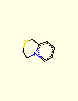 c1cc[n+]2c(c1)CSCC2